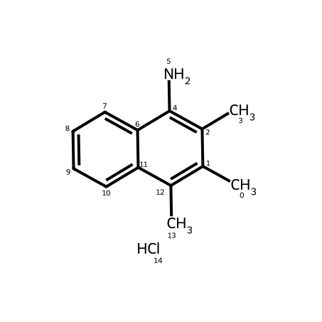 Cc1c(C)c(N)c2ccccc2c1C.Cl